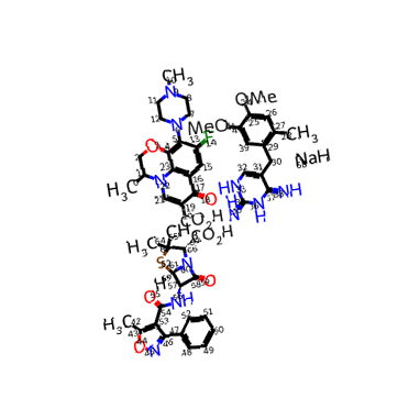 CC1COc2c(N3CCN(C)CC3)c(F)cc3c(=O)c(C(=O)O)cn1c23.COc1cc(C)c(Cc2c[nH]c(=N)[nH]c2=N)cc1OC.Cc1onc(-c2ccccc2)c1C(=O)N[C@@H]1C(=O)N2[C@@H]1SC(C)(C)[C@@H]2C(=O)O.[NaH]